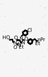 CCC[C@@H](CC)Cc1cccc(Oc2nc3c(c(=O)n(CCCO)c(=O)n3CC)n2Cc2ccc(Cl)cc2)c1